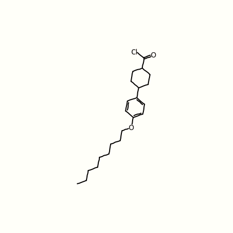 CCCCCCCCCOc1ccc(C2CCC(C(=O)Cl)CC2)cc1